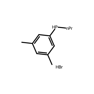 Br.CCCPc1cc(C)cc(C)c1